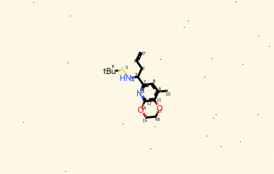 C=CCC(NSC(C)(C)C)c1cc(C)c2c(n1)OCCO2